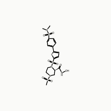 CN(C)S(=O)(=O)c1ccc(-c2ccc(S(=O)(=O)N3CCN(S(C)(=O)=O)C[C@@H]3C(=O)NO)s2)cc1